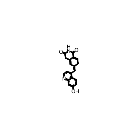 O=C1CC2=CC(=Cc3ccnc4cc(O)ccc34)CC=C2C(=O)N1